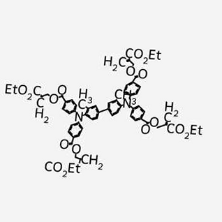 C=C(COC(=O)c1ccc(N(c2ccc(C(=O)OCC(=C)C(=O)OCC)cc2)c2ccc(-c3ccc(N(c4ccc(C(=O)OCC(=C)C(=O)OCC)cc4)c4ccc(C(=O)OCC(=C)C(=O)OCC)cc4)c(C)c3)cc2C)cc1)C(=O)OCC